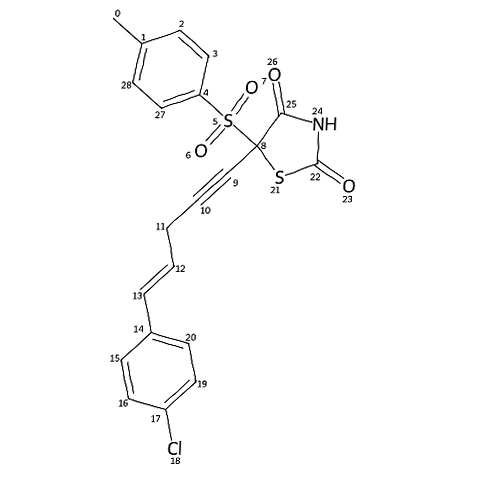 Cc1ccc(S(=O)(=O)C2(C#CCC=Cc3ccc(Cl)cc3)SC(=O)NC2=O)cc1